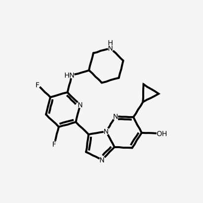 Oc1cc2ncc(-c3nc(NC4CCCNC4)c(F)cc3F)n2nc1C1CC1